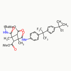 CCC(C)(C)c1ccc(C(c2ccc(NC(=O)C3(C)C(C(=O)OC)C(C)(C(=O)NC(C)(C)C)C3C(=O)OC)cc2)(C(F)(F)F)C(F)(F)F)cc1